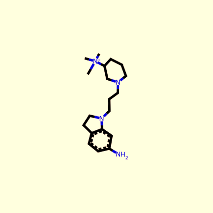 C[N+](C)(C)C1CCCN(CCCN2CCc3ccc(N)cc32)C1